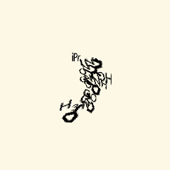 CC(C)CCn1c(=O)c(C2=NS(=O)(=O)c3cc(OC(=O)S4(C)CCCCN4Cc4ccccc4)ccc3N2)c(O)c2cccnc21